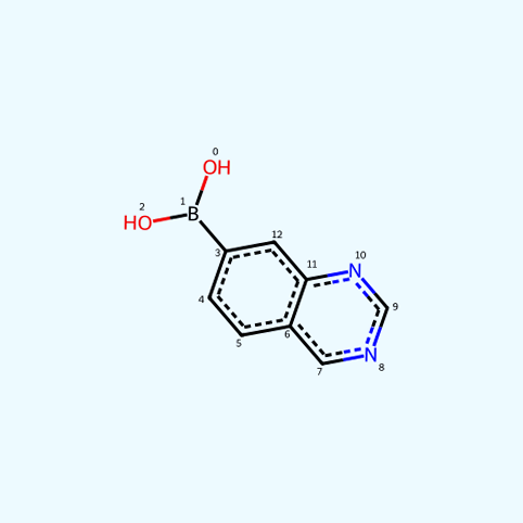 OB(O)c1ccc2cncnc2c1